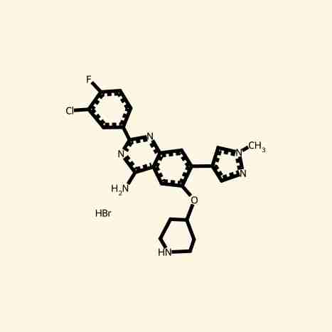 Br.Cn1cc(-c2cc3nc(-c4ccc(F)c(Cl)c4)nc(N)c3cc2OC2CCNCC2)cn1